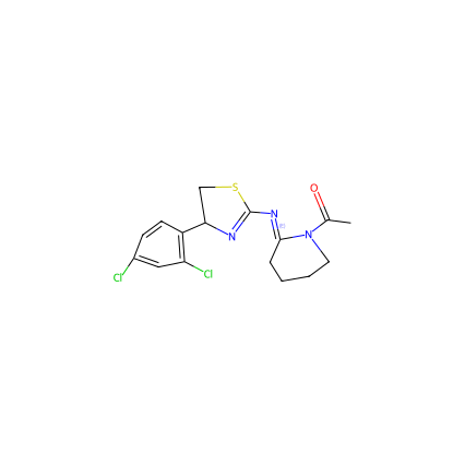 CC(=O)N1CCCC/C1=N\C1=NC(c2ccc(Cl)cc2Cl)CS1